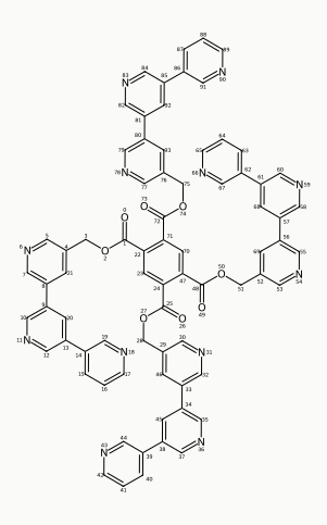 O=C(OCc1cncc(-c2cncc(-c3cccnc3)c2)c1)c1cc(C(=O)OCc2cncc(-c3cncc(-c4cccnc4)c3)c2)c(C(=O)OCc2cncc(-c3cncc(-c4cccnc4)c3)c2)cc1C(=O)OCc1cncc(-c2cncc(-c3cccnc3)c2)c1